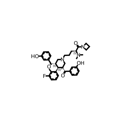 Cc1c(F)cccc1[C@@H]1[C@@H](C(=O)c2cccc(O)c2)CN(CCC[C@@H](C(=O)N2CCC2)N(C)C)C[C@H]1C(=O)c1cccc(O)c1